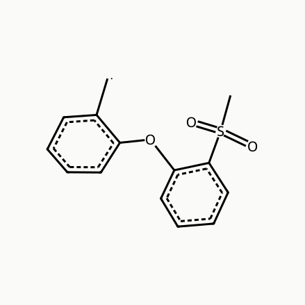 [CH2]c1ccccc1Oc1ccccc1S(C)(=O)=O